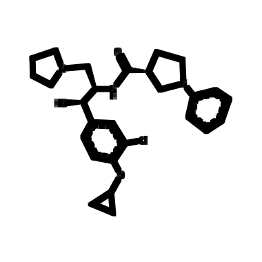 O=C(N[C@H](CN1CCCC1)[C@H](O)c1ccc(OC2CC2)c(Cl)c1)[C@@H]1CCN(c2ccccc2)C1